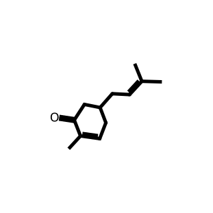 CC(C)=CCC1CC=C(C)C(=O)C1